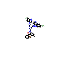 Cc1ccc(NCCN(CCNc2ccnc3cc(Cl)ccc23)CCNc2ccnc3cc(Cl)ccc23)c2c(=O)c3ccccc3sc12